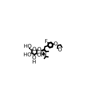 Cc1c(Cc2ccc(OC3CCOC3)cc2F)c(O[C@@H]2O[C@H](CO)[C@@H](O)[C@H](O)[C@H]2O)nn1C(C)C